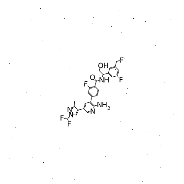 Cc1nn(C(F)F)cc1-c1cnc(N)c(-c2ccc(C(=O)NC(CO)c3cc(F)cc(CF)c3)c(F)c2)c1